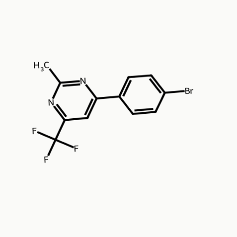 Cc1nc(-c2ccc(Br)cc2)cc(C(F)(F)F)n1